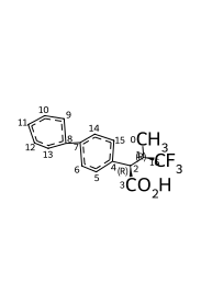 C[C@H]([C@@H](C(=O)O)c1ccc(-c2ccccc2)cc1)C(F)(F)F